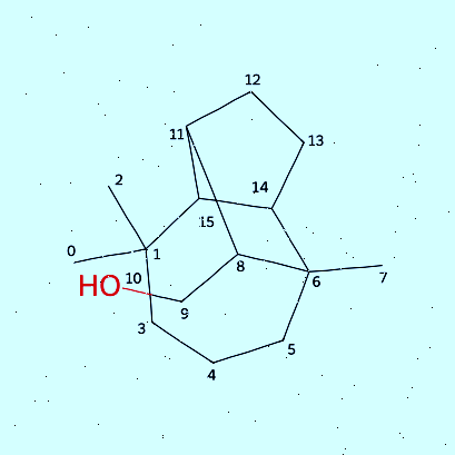 CC1(C)CCCC2(C)C(CO)C3CCC2C31